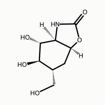 O=C1N[C@@H]2[C@@H](O)[C@H](O)[C@@H](CO)C[C@@H]2O1